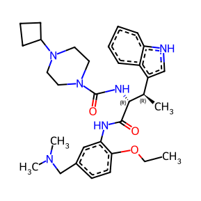 CCOc1ccc(CN(C)C)cc1NC(=O)[C@H](NC(=O)N1CCN(C2CCC2)CC1)[C@H](C)c1c[nH]c2ccccc12